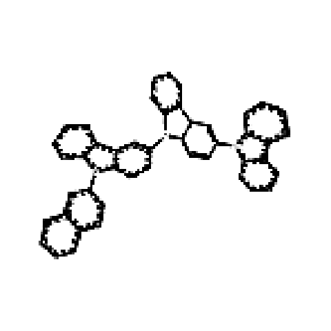 C1=CC2C(C=C1n1c3ccccc3c3ccccc31)c1ccccc1N2c1ccc2c(c1)c1ccccc1n2-c1ccc2ccccc2c1